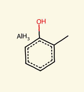 Cc1ccccc1O.[AlH3]